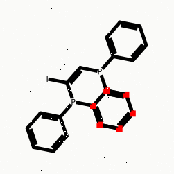 I/C(=C/P(C1=CC=CCC1)c1ccccc1)P(c1ccccc1)c1ccccc1